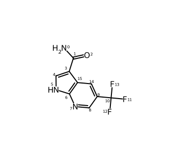 NC(=O)c1c[nH]c2ncc(C(F)(F)F)cc12